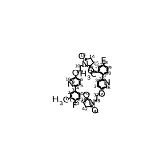 Cc1cc(-c2ccc(OCCN3C(=O)CCC3=O)cn2)ccc1F.Cc1cc(F)ccc1-c1ccc(OCCN2C(=O)CCC2=O)cn1